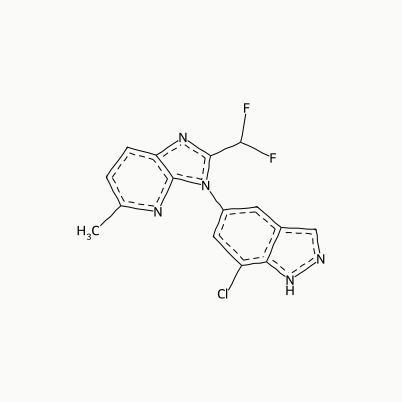 Cc1ccc2nc(C(F)F)n(-c3cc(Cl)c4[nH]ncc4c3)c2n1